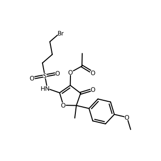 COc1ccc(C2(C)OC(NS(=O)(=O)CCCBr)=C(OC(C)=O)C2=O)cc1